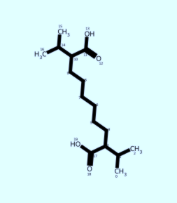 CC(C)C(CCCCCCC(C(=O)O)C(C)C)C(=O)O